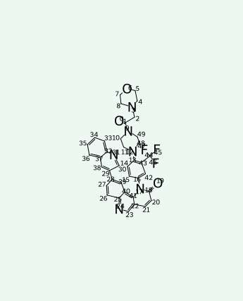 O=C(CN1CCOCC1)N1CCN(c2ccc(-n3c(=O)ccc4cnc5ccc(-c6cnc7ccccc7c6)cc5c43)cc2C(F)(F)F)CC1